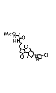 CON=C(C)C(=O)NCCC1CC(=O)C(c2c(C)cc(-n3cc(Cl)cn3)cc2C)C1=O